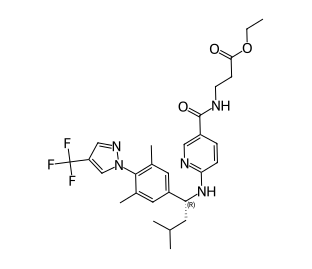 CCOC(=O)CCNC(=O)c1ccc(N[C@H](CC(C)C)c2cc(C)c(-n3cc(C(F)(F)F)cn3)c(C)c2)nc1